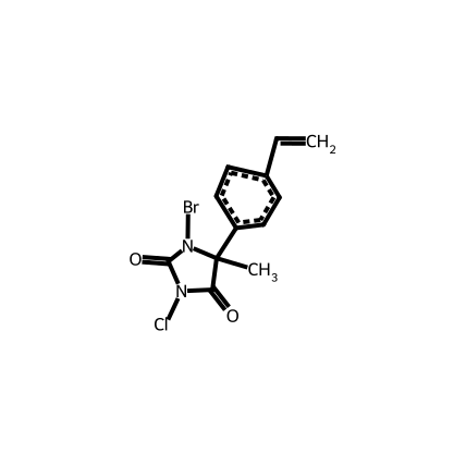 C=Cc1ccc(C2(C)C(=O)N(Cl)C(=O)N2Br)cc1